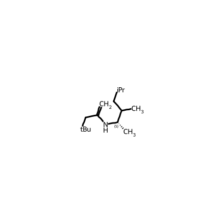 C=C(CC(C)(C)C)N[C@@H](C)C(C)CC(C)C